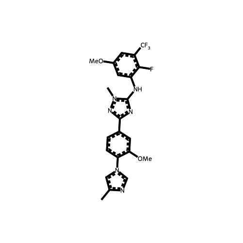 COc1cc(Nc2nc(-c3ccc(-n4cnc(C)c4)c(OC)c3)nn2C)c(F)c(C(F)(F)F)c1